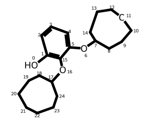 Oc1cccc(OC2CCCCCCC2)c1OC1CCCCCCC1